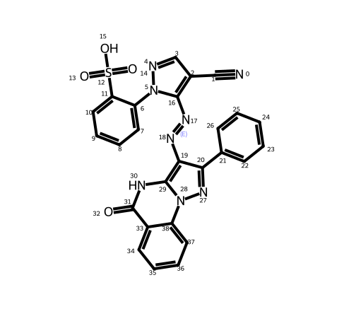 N#Cc1cnn(-c2ccccc2S(=O)(=O)O)c1/N=N/c1c(-c2ccccc2)nn2c1[nH]c(=O)c1ccccc12